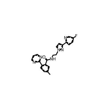 Cc1ccc(-c2ncccn2)c(C(=O)NCCn2ccc(-c3ccc(F)cn3)n2)c1